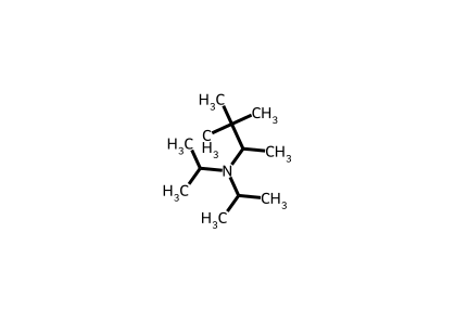 CC(C)N(C(C)C)C(C)C(C)(C)C